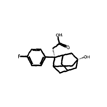 O=C(O)C[C@]1(c2ccc(F)cc2)C2CC3CC1C[C@](O)(C3)C2